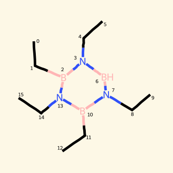 CCB1N(CC)BN(CC)B(CC)N1CC